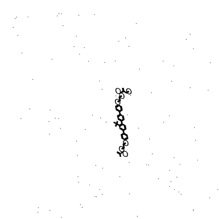 C=C(C)C(=O)OCCOc1ccc(-c2ccc(-c3ccc(-c4ccc(OCCOC(=O)C(=C)COC)cc4)cc3)c(C(C)(C)C)c2)cc1